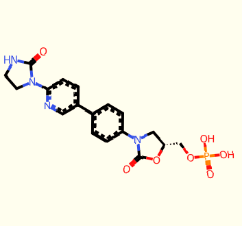 O=C1O[C@@H](COP(=O)(O)O)CN1c1ccc(-c2ccc(N3CCNC3=O)nc2)cc1